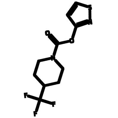 O=C(Oc1ccsn1)N1CCC(C(F)(F)F)CC1